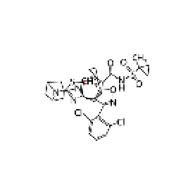 CN(Cc1c(-c2c(Cl)cccc2Cl)noc1C1CC1)C1CC2CC(C1)N2c1nc2ccc(C(=O)NS(=O)(=O)C3(C)CC3)cc2s1